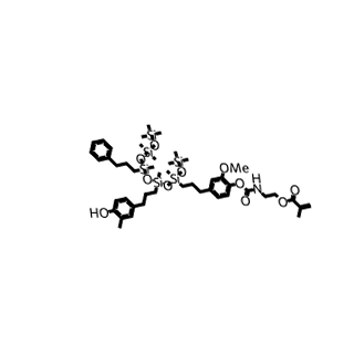 C=C(C)C(=O)OCCNC(=O)Oc1ccc(CCC[Si](C)(O[Si](C)(C)C)O[Si](C)(CCCc2ccc(O)c(C)c2)O[Si](C)(CCCc2ccccc2)O[Si](C)(C)O[Si](C)(C)C)cc1OC